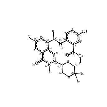 COC(=O)c1nc(Cl)ccc1NC(C)c1cc(C)cc2c(=O)n(C)c(N3CCC(C)(C)CC3)cc12